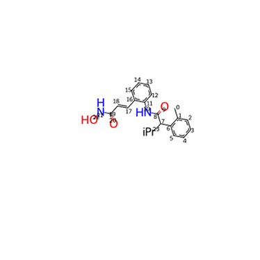 Cc1ccccc1C(C(=O)Nc1ccccc1C=CC(=O)NO)C(C)C